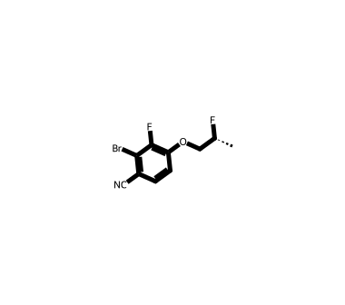 C[C@@H](F)COc1ccc(C#N)c(Br)c1F